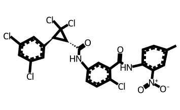 Cc1ccc(NC(=O)c2cc(NC(=O)[C@@H]3[C@@H](c4cc(Cl)cc(Cl)c4)C3(Cl)Cl)ccc2Cl)c([N+](=O)[O-])c1